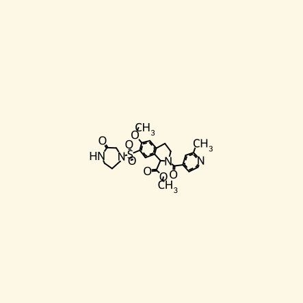 COC(=O)C1c2cc(S(=O)(=O)N3CCCNC(=O)C3)c(OC)cc2CCN1C(=O)c1ccnc(C)c1